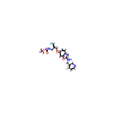 CC(C)(C)OC(=O)NC/C(=C\F)COc1ccc2nc(NCc3cccnc3)oc2c1